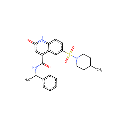 CC1CCN(S(=O)(=O)c2ccc3[nH]c(=O)cc(C(=O)NC(C)c4ccccc4)c3c2)CC1